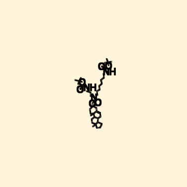 CC(C)(C)OC(=O)NCCCCCCCCN(CCCNC(=O)OC(C)(C)C)C(=O)OC1CCC2(C)C(=CCC3C4CCCC4(C)CCC32)C1